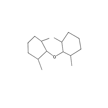 CC1CCCC(C)C1OC1C(C)CCCC1C